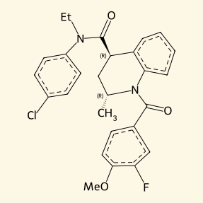 CCN(C(=O)[C@@H]1C[C@@H](C)N(C(=O)c2ccc(OC)c(F)c2)c2ccccc21)c1ccc(Cl)cc1